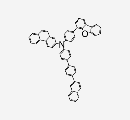 c1ccc2cc(-c3ccc(-c4ccc(N(c5ccc(-c6cccc7c6oc6ccccc67)cc5)c5ccc6c(ccc7ccccc76)c5)cc4)cc3)ccc2c1